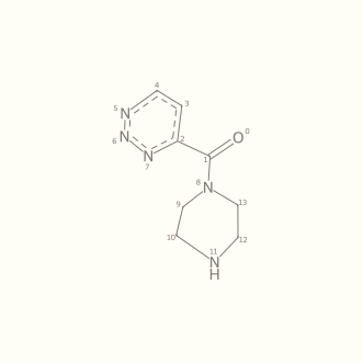 O=C(c1ccnnn1)N1CCNCC1